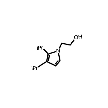 CC(C)c1ccn(CCO)c1C(C)C